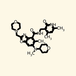 Cc1cc(C)c(CNC(=O)c2c(C)c(N(C)C3CCOCC3)cc3oc(CN4CCOCC4)nc23)c(=O)[nH]1